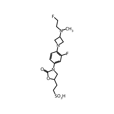 CN(CCF)C1CN(c2ccc(N3CC(CCS(=O)(=O)O)OC3=O)cc2F)C1